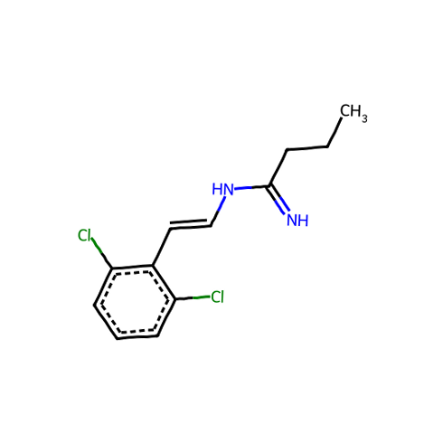 CCCC(=N)NC=Cc1c(Cl)cccc1Cl